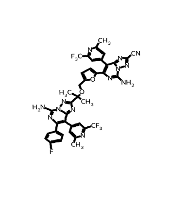 Cc1cc(-c2c(-c3ccc(F)cc3)nc(N)n3nc(C(C)(C)OCc4ccc(-c5nc(N)n6nc(C#N)nc6c5-c5cc(C)nc(C(F)(F)F)c5)o4)nc23)cc(C(F)(F)F)n1